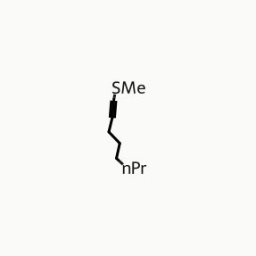 [CH2]CCCCCC#CSC